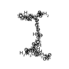 CC(C)[C@@H](NC(=O)CCCCCN1C(=O)C=CC1=O)C(=O)N[C@H](CCCNC(N)=O)C(=O)Nc1ccc(COC(=O)NCCOCCOCCO[C@H]2C[C@H](n3ccc4c(N[C@H]5CCc6ccccc65)ncnc43)C[C@H]2COS(N)(=O)=O)cc1